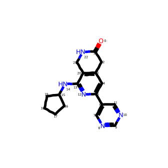 O=C1Cc2cc(-c3cncnc3)nc(NC3CCCC3)c2CN1